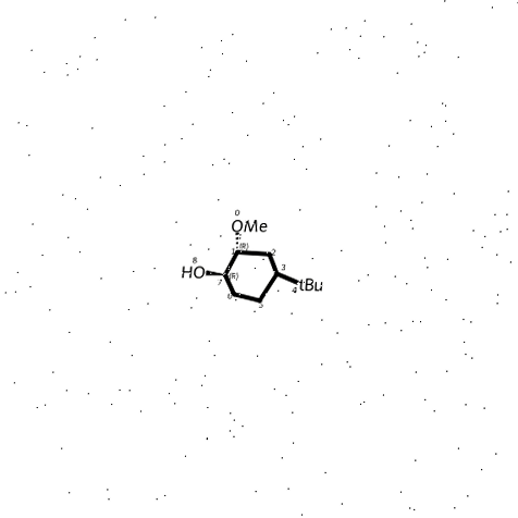 CO[C@@H]1CC(C(C)(C)C)CC[C@H]1O